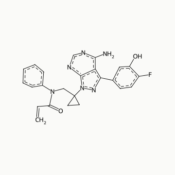 C=CC(=O)N(CC1(n2nc(-c3ccc(F)c(O)c3)c3c(N)ncnc32)CC1)c1ccccc1